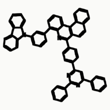 c1ccc(-c2cc(-c3ccc(-c4nc5c(-c6cccc(-n7c8ccccc8c8ccccc87)c6)cccc5c5c4ccc4ccccc45)cc3)nc(-c3ccccc3)n2)cc1